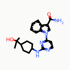 CC(C)(O)C1CCC(Nc2nccc(-n3cc(C(N)=O)c4ccccc43)n2)CC1